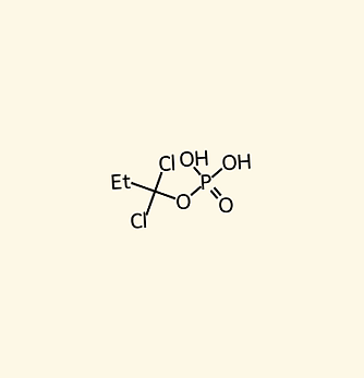 CCC(Cl)(Cl)OP(=O)(O)O